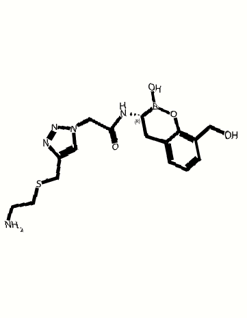 NCCSCc1cn(CC(=O)N[C@H]2Cc3cccc(CO)c3OB2O)nn1